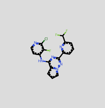 Fc1c(Nc2nc(-c3cccc(C(F)F)n3)nn3cccc23)ccnc1Cl